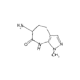 Cn1ncc2c1NC(=O)C(N)CC2